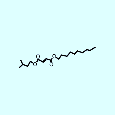 CCCCCCCCCCOC(=O)C=CC(=O)OCCC(C)C